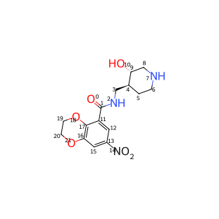 O=C(NC[C@@H]1CCNC[C@H]1O)c1cc([N+](=O)[O-])cc2c1OCCO2